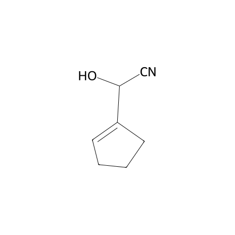 N#CC(O)C1=CCCC1